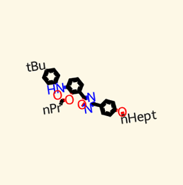 CCCCCCCOc1ccc(-c2noc(-c3cccc(Nc4ccc(C(C)(C)C)cc4)c3OC(=O)CCC)n2)cc1